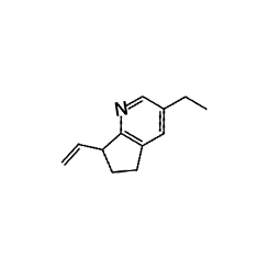 C=CC1CCc2cc(CC)cnc21